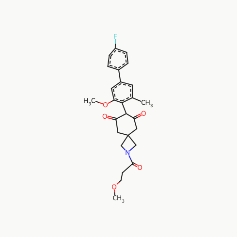 COCCC(=O)N1CC2(CC(=O)C(c3c(C)cc(-c4ccc(F)cc4)cc3OC)C(=O)C2)C1